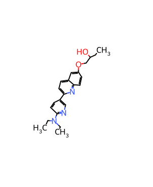 CCC(O)COc1ccc2nc(-c3ccc(N(CC)CC)nc3)ccc2c1